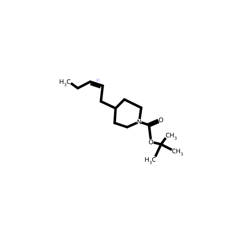 CC/C=C\CC1CCN(C(=O)OC(C)(C)C)CC1